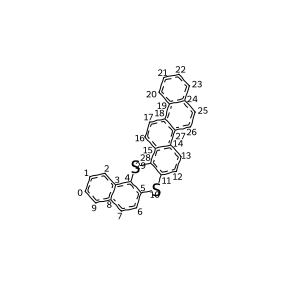 c1ccc2c3c(ccc2c1)Sc1ccc2c(ccc4c5ccccc5ccc24)c1S3